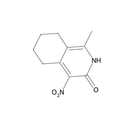 Cc1[nH]c(=O)c([N+](=O)[O-])c2c1CCCC2